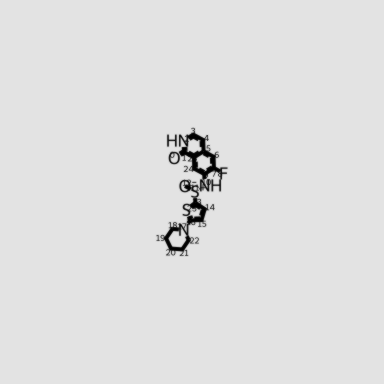 O=c1[nH]ccc2cc(F)c(N[S+]([O-])c3ccc(N4CCCCC4)s3)cc12